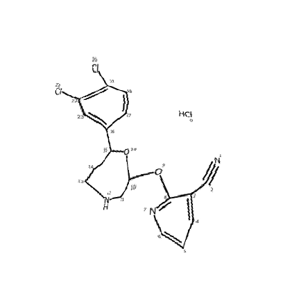 Cl.N#Cc1cccnc1OC1CNCCC(c2ccc(Cl)c(Cl)c2)O1